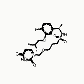 C[C@@H](NS(=O)(=O)CCCOCn1ccc(=O)[nH]c1=O)c1ccc(F)c(OCC(F)F)c1